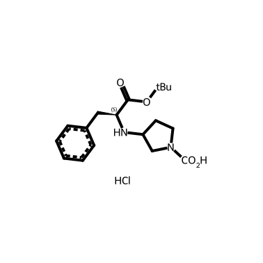 CC(C)(C)OC(=O)[C@H](Cc1ccccc1)NC1CCN(C(=O)O)C1.Cl